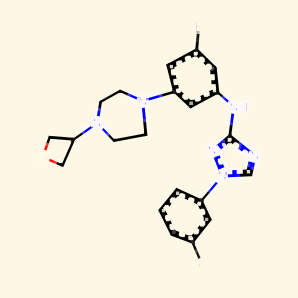 CCc1cc(Nc2ncn(-c3cccc(C(F)(F)F)c3)n2)cc(N2CCN(C3COC3)CC2)c1